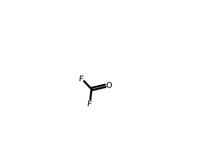 O=C(F)F